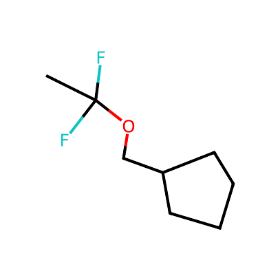 CC(F)(F)OCC1CCCC1